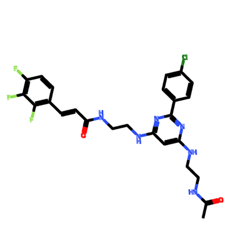 CC(=O)NCCNc1cc(NCCNC(=O)C=Cc2ccc(F)c(F)c2F)nc(-c2ccc(Cl)cc2)n1